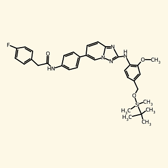 COc1cc(CO[Si](C)(C)C(C)(C)C)ccc1Nc1nc2ccc(-c3ccc(NC(=O)Cc4ccc(F)cc4)cc3)cn2n1